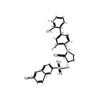 O=C1[C@@H](NS(=O)(=O)c2ccc3cc(Cl)ccc3c2)CCN1c1ccc(-c2cccnc2Cl)cc1F